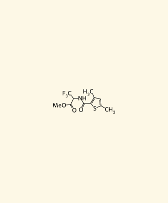 COC(=O)C(NC(=O)c1sc(C)cc1C)C(F)(F)F